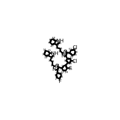 Fc1ccc(-c2nc(CCCc3c[nH]c4ccccc34)oc2-c2ccc(F)c(-c3cc(Cl)cc(-c4nc(CCCc5c[nH]c6ccccc56)oc4-c4cccc(Cl)c4)c3)c2)cc1